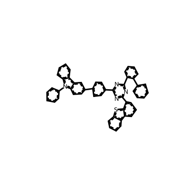 c1ccc(-c2ccccc2-c2nc(-c3ccc(-c4ccc5c(c4)c4ccccc4n5-c4ccccc4)cc3)nc(-c3cccc4c3sc3ccccc34)n2)cc1